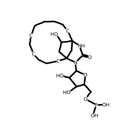 O=C1NC23CCCCCCCCCCCC(CC2O)(C3)N1C1OC(COP(O)O)C(O)C1O